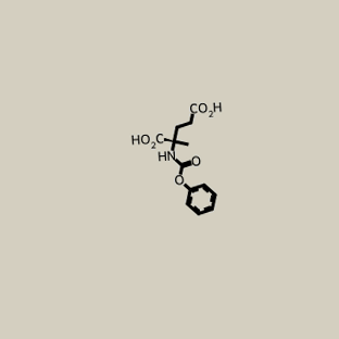 C[C@@](CCC(=O)O)(NC(=O)Oc1ccccc1)C(=O)O